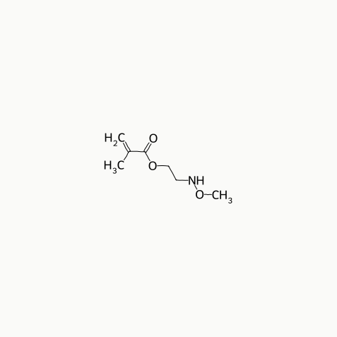 C=C(C)C(=O)OCCNOC